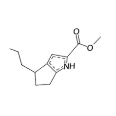 CCCC1CCc2[nH]c(C(=O)OC)cc21